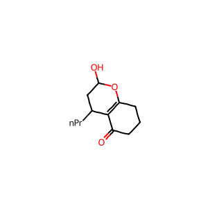 CCCC1CC(O)OC2=C1C(=O)CCC2